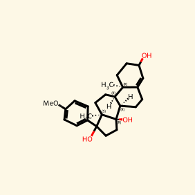 COc1ccc(C2(O)CC[C@@]3(O)[C@@H]4CCC5=CC(O)CC[C@]5(C)[C@@H]4CC[C@]23C)cc1